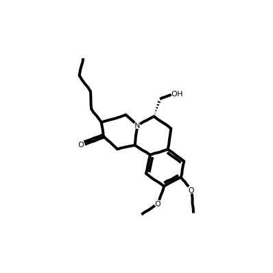 CCCCC1CN2C(CC1=O)c1cc(OC)c(OC)cc1C[C@H]2CO